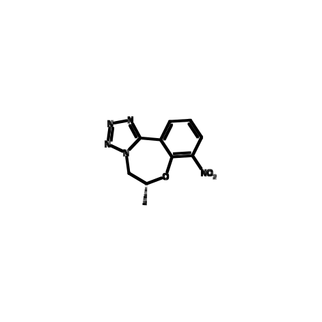 C[C@@H]1Cn2nnnc2-c2cccc([N+](=O)[O-])c2O1